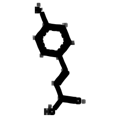 O=C(O)/C=C/c1ccc(Br)cc1